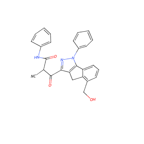 N#CC(C(=O)Nc1ccccc1)C(=O)c1nn(-c2ccccc2)c2c1Cc1c(CO)cccc1-2